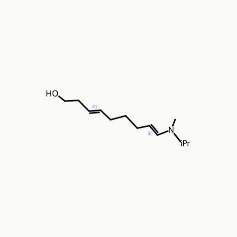 CC(C)N(C)/C=C/CCC/C=C/CCO